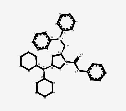 O=C(Oc1ccccc1)N1C[C@@H](P(C2CCCCC2)C2CCCCC2)C[C@H]1CP(c1ccccc1)c1ccccc1